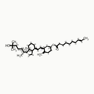 C=C1CC[C@H](OC(=O)CCCCCCCCC)C/C1=C/C=C1CCC[C@@]2(C)C1CC[C@@H]2[C@H](C)CCCC(C)(C)O